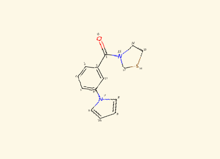 O=C(c1cccc(-n2cccc2)c1)N1CCSC1